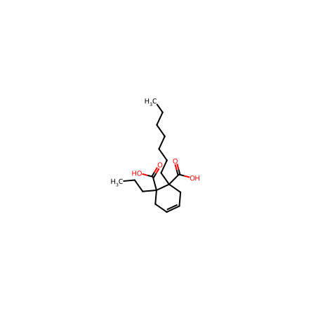 CCCCCCCC1(C(=O)O)CC=CCC1(CCC)C(=O)O